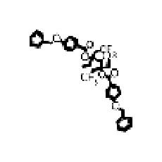 C=CC(CC(F)(F)F)(OC(=O)c1ccc(OCc2ccccc2)cc1)C(=O)C(C=C)(CC(F)(F)F)OC(=O)c1ccc(OCc2ccccc2)cc1